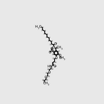 CCCCCCCCCCCC(=O)OC(C)c1cc(OC)c(OCCCC(=O)NCCOCCOCCC)cc1[N+](=O)[O-]